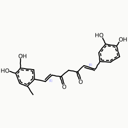 Cc1cc(O)c(O)cc1/C=C/C(=O)CC(=O)/C=C/c1ccc(O)c(O)c1